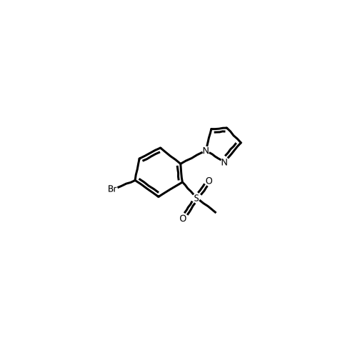 CS(=O)(=O)c1cc(Br)ccc1-n1cccn1